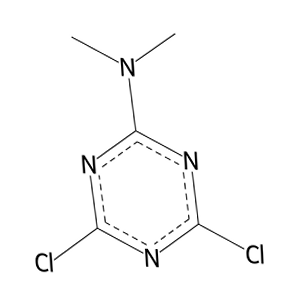 CN(C)c1nc(Cl)nc(Cl)n1